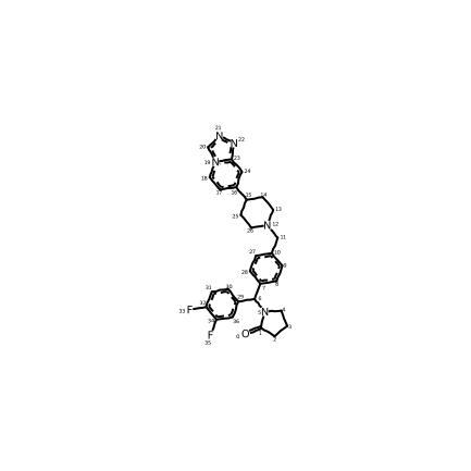 O=C1CCCN1C(c1ccc(CN2CCC(c3ccn4cnnc4c3)CC2)cc1)c1ccc(F)c(F)c1